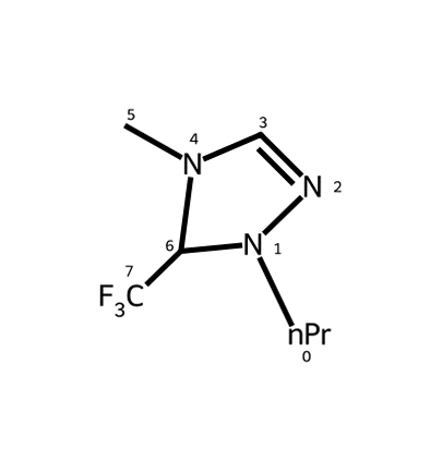 CCCN1N=CN(C)C1C(F)(F)F